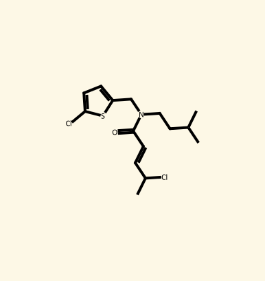 CC(Cl)/C=C/C(=O)N(CCC(C)C)Cc1ccc(Cl)s1